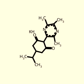 Cc1nc(C)c(C2C(=O)CC(C(C)C)CC2=O)nc1C.[KH]